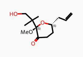 C=CC[C@@H]1CCC(=O)[C@](OC)(C(C)(C)CO)O1